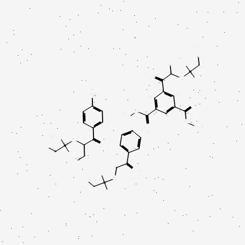 CC(C)(CO)NCC(=O)c1ccccc1.CCC(NC(C)(C)CO)C(=O)c1ccc(N)cc1.CNC(=O)c1cc(C(=O)NC)cc(C(=O)C(C)NC(C)(C)CO)c1